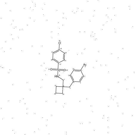 CC(=O)c1ccc(CC2(CNS(=O)(=O)c3ccc(Cl)cc3)CCC2)cc1